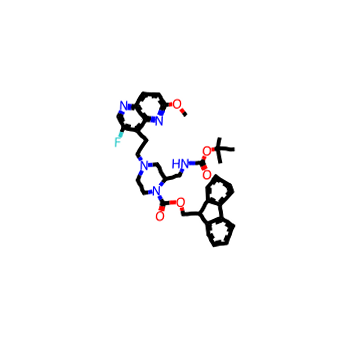 COc1ccc2ncc(F)c(CCN3CCN(C(=O)OCC4c5ccccc5-c5ccccc54)C(CNC(=O)OC(C)(C)C)C3)c2n1